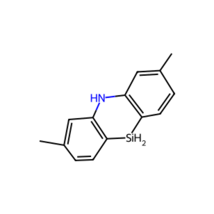 Cc1ccc2c(c1)Nc1cc(C)ccc1[SiH2]2